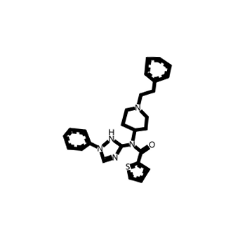 O=C(c1cccs1)N(C1CCN(CCc2ccccc2)CC1)C1N=CN(c2ccccc2)N1